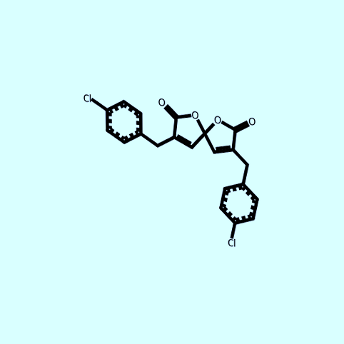 O=C1OC2(C=C1Cc1ccc(Cl)cc1)C=C(Cc1ccc(Cl)cc1)C(=O)O2